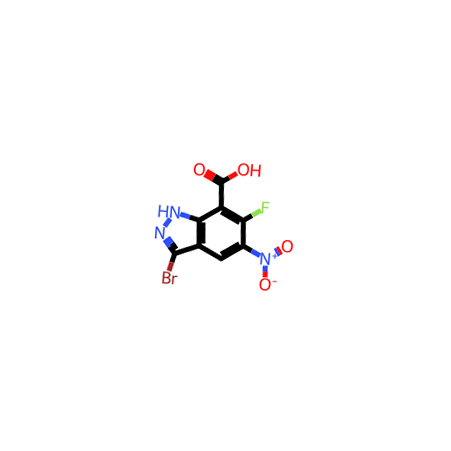 O=C(O)c1c(F)c([N+](=O)[O-])cc2c(Br)n[nH]c12